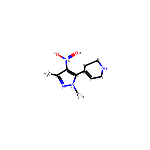 Cc1nn(C)c(C2=CCNCC2)c1[N+](=O)[O-]